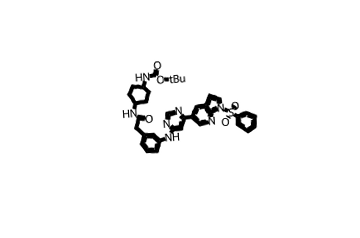 CC(C)(C)OC(=O)NC1CCC(NC(=O)Cc2cccc(Nc3cc(-c4cnc5c(ccn5S(=O)(=O)c5ccccc5)c4)ncn3)c2)CC1